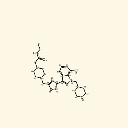 CCNC(=O)CN1CCN(Cc2nc(-c3cn(CC4CCOCC4)c4c(Cl)cccc34)ns2)CC1